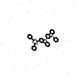 c1ccc(-c2nc(-c3ccccc3)nc(-c3ccc4c(c3)c3ccccc3n4-c3ccc4c5ccccc5n(-c5ccccc5)c4c3)n2)cc1